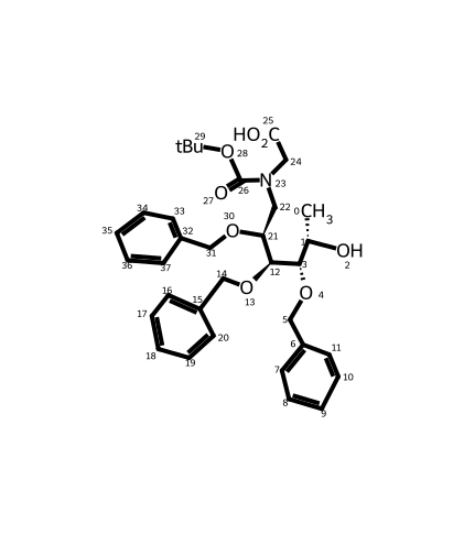 C[C@H](O)[C@H](OCc1ccccc1)[C@@H](OCc1ccccc1)[C@H](CN(CC(=O)O)C(=O)OC(C)(C)C)OCc1ccccc1